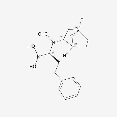 O=CN([C@@H]1C[C@H]2CC[C@@H]1O2)[C@@H](CCc1ccccc1)B(O)O